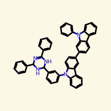 c1ccc(C2=NC(c3ccccc3)NC(c3cccc(-n4c5ccccc5c5cc(-c6ccc7c8ccccc8n(-c8ccccc8)c7c6)ccc54)c3)N2)cc1